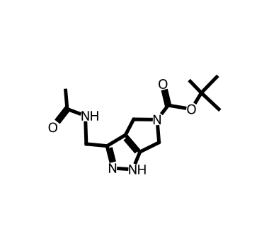 CC(=O)NCc1n[nH]c2c1CN(C(=O)OC(C)(C)C)C2